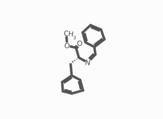 COC(=O)[C@@H](Cc1ccccc1)/N=C\c1ccccc1